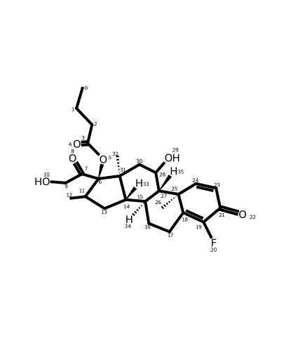 CCCC(=O)O[C@]1(C(=O)CO)C(C)C[C@H]2[C@@H]3CCC4=C(F)C(=O)C=C[C@]4(C)[C@H]3C(O)C[C@@]21C